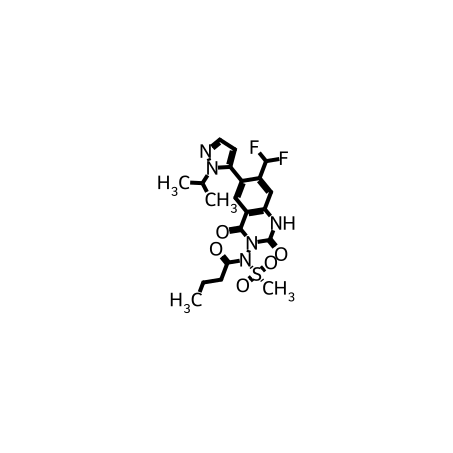 CCCC(=O)N(n1c(=O)[nH]c2cc(C(F)F)c(-c3ccnn3C(C)C)cc2c1=O)S(C)(=O)=O